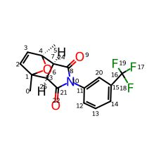 CC12C=C[C@](C)(O1)[C@H]1C(=O)N(c3cccc(C(F)(F)F)c3)C(=O)[C@H]12